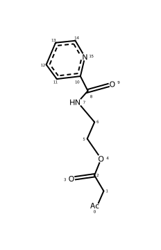 CC(=O)CC(=O)OCCNC(=O)c1ccccn1